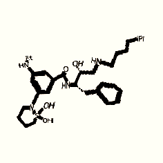 CCNc1cc(C(=O)N[C@@H](Cc2ccccc2)[C@H](O)CNCCCCC(C)C)cc(N2CCCCS2(O)O)c1